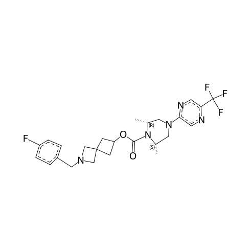 C[C@@H]1CN(c2cnc(C(F)(F)F)cn2)C[C@H](C)N1C(=O)OC1CC2(C1)CN(Cc1ccc(F)cc1)C2